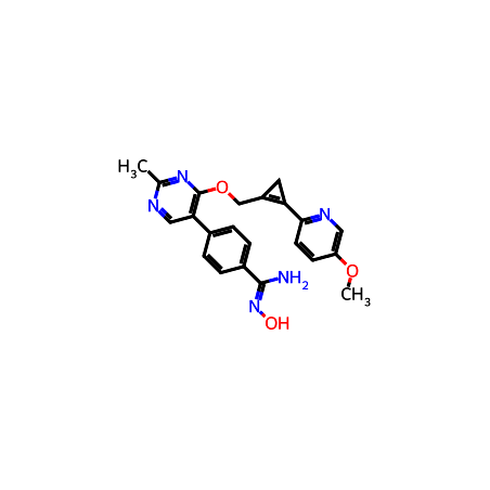 COc1ccc(C2=C(COc3nc(C)ncc3-c3ccc(/C(N)=N/O)cc3)C2)nc1